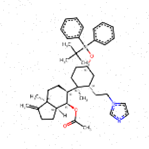 C=C1CC[C@@H]2[C@H](OC(C)=O)[C@H]([C@@]3(C)CC[C@H](O[Si](c4ccccc4)(c4ccccc4)C(C)(C)C)C[C@@H]3CCn3ccnc3)CC[C@]12C